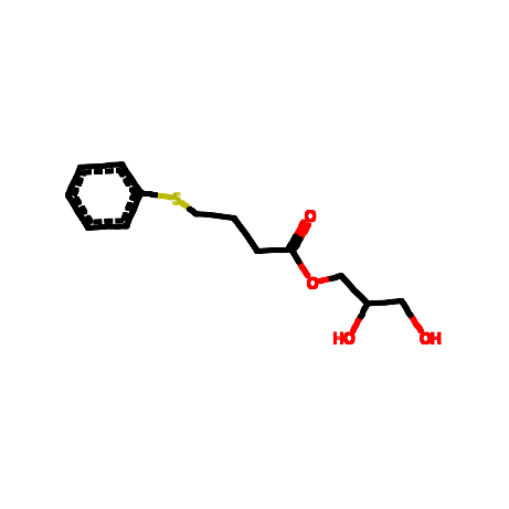 O=C(CCCSc1ccccc1)OCC(O)CO